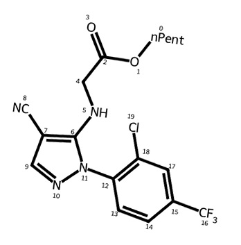 CCCCCOC(=O)CNc1c(C#N)cnn1-c1ccc(C(F)(F)F)cc1Cl